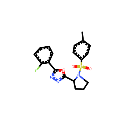 Cc1ccc(S(=O)(=O)N2CCCC2c2nnc(-c3ccccc3F)o2)cc1